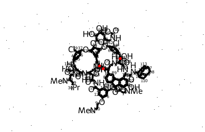 CNCCOCc1cc(OCCNC)cc(C(=O)NC(=O)C[C@@H]2NC(=O)[C@H](NC(=O)[C@@H](CC(C)C)NC)[C@H](O)c3ccc(c(Cl)c3)Oc3cc4cc(c3O[C@@H]3O[C@@H]5CNC(=O)O[C@H]5[C@H](O)[C@H]3O)Oc3ccc(cc3Cl)[C@@H](O)[C@@H]3NC(=O)[C@H](NC(=O)[C@@H]4NC2=O)c2ccc4c(c2)-c2c(cc(O)cc2C4(O)O)[C@@H](C(=O)NC2C4CC5CC(C4)CC2C5)NC3=O)c1